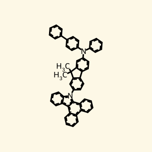 CC1(C)c2cc(N(c3ccccc3)c3ccc(-c4ccccc4)cc3)ccc2-c2ccc(-n3c4ccccc4c4c5ccccc5c5ccccc5c43)cc21